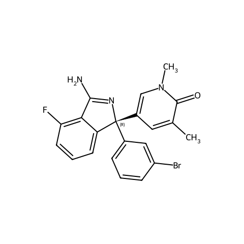 Cc1cc([C@]2(c3cccc(Br)c3)N=C(N)c3c(F)cccc32)cn(C)c1=O